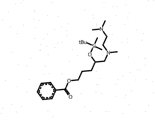 CN(C)CCN(C)CC(CCCOC(=O)c1ccccc1)O[Si](C)(C)C(C)(C)C